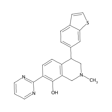 CN1Cc2c(ccc(-c3ncccn3)c2O)C(c2ccc3ccsc3c2)C1